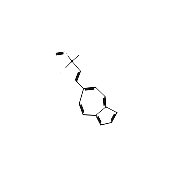 CC(C)(/C=C/c1ccc2cccc-2cc1)N=O